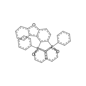 O=P(c1ccccc1)(c1ccccc1)c1ccc2oc3ccccc3c2c1P(=O)(c1ccccc1)c1ccccc1